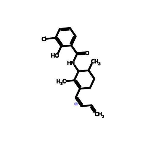 C=C/C=C\C1=C(C)C(NC(=O)c2cccc(Cl)c2O)C(C)CC1